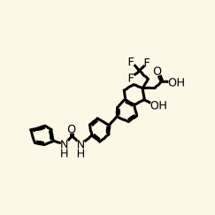 O=C(O)CC1(CC(F)(F)F)CCc2cc(-c3ccc(NC(=O)Nc4ccccc4)cc3)ccc2C1O